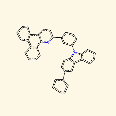 c1ccc(-c2ccc3c(c2)c2ccccc2n3-c2cccc(-c3ccc4c5ccccc5c5ccccc5c4n3)c2)cc1